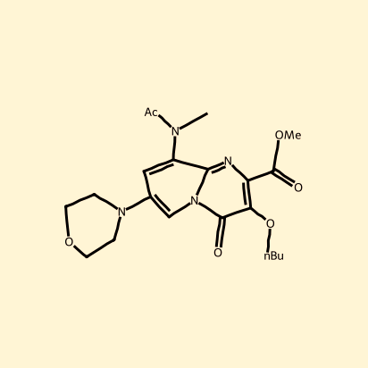 CCCCOc1c(C(=O)OC)nc2c(N(C)C(C)=O)cc(N3CCOCC3)cn2c1=O